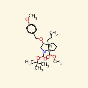 C=CC[C@@]12CCC[C@]1(C(=O)OC)N(C(=O)OC(C)(C)C)CC2OCc1ccc(OC)cc1